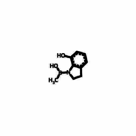 CB(O)N1CCc2cccc(O)c21